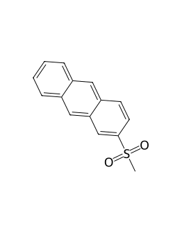 CS(=O)(=O)c1ccc2cc3ccccc3cc2c1